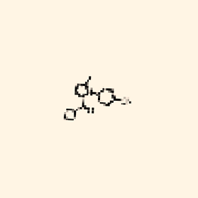 Cc1ccc(C(=O)C2CCC2)n1-c1ccc(C#N)cc1